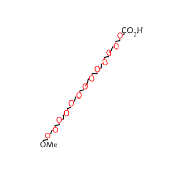 COCCOCCOCCOCCOCCOCCOCCOCCOCCOCCOCCOCCOCCOCC(=O)O